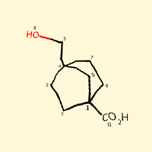 O=C(O)C12CCC(CO)(CC1)C2